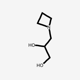 OCC(O)CN1CCC1